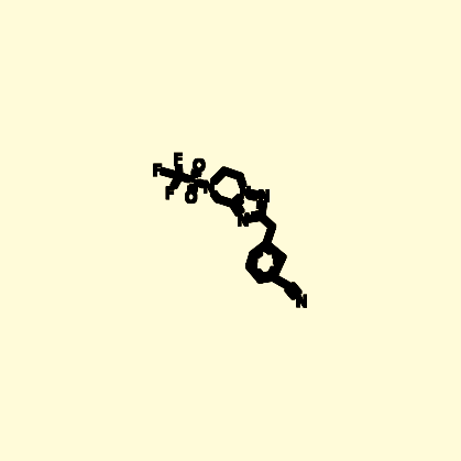 N#Cc1cccc(Cc2nc3n(n2)CCN(S(=O)(=O)C(F)(F)F)C3)c1